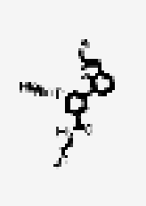 Br.Br.Br.COCCNC(=O)c1cccc(-c2cccc3cc(CBr)sc23)c1.[P]